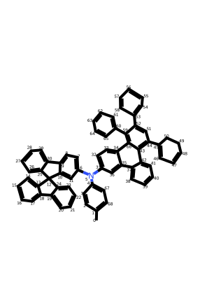 Cc1ccc(N(c2ccc3c(c2)C2(c4ccccc4-c4ccccc42)c2ccccc2-3)c2ccc3c(c2)c2ccccc2c2c(C4=CC=CCC4)cc(-c4ccccc4)c(-c4ccccc4)c32)cc1